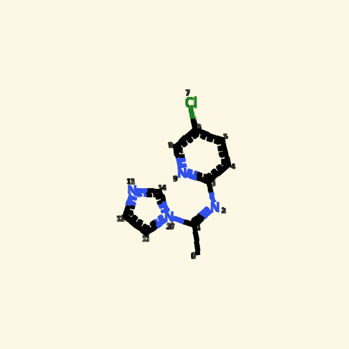 CC(=Nc1ccc(Cl)cn1)n1ccnc1